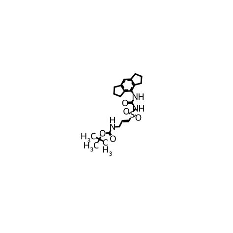 CC(C)(C)OC(=O)NCC=CS(=O)(=O)NC(=O)Nc1c2c(cc3c1CCC3)CCC2